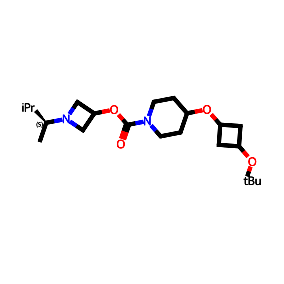 CC(C)[C@H](C)N1CC(OC(=O)N2CCC(OC3CC(OC(C)(C)C)C3)CC2)C1